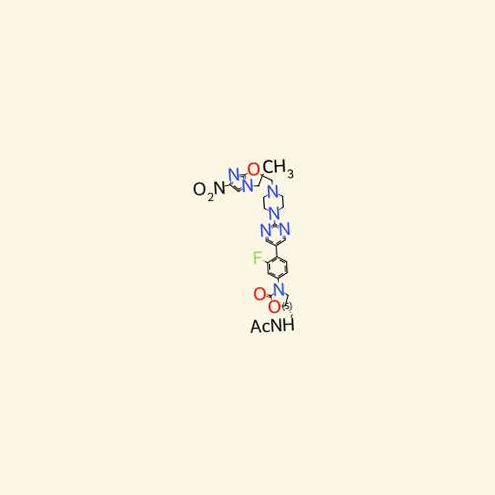 CC(=O)NC[C@H]1CN(c2ccc(-c3cnc(N4CCN(CC5(C)Cn6cc([N+](=O)[O-])nc6O5)CC4)nc3)c(F)c2)C(=O)O1